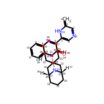 C=C1C=NC=C(c2nc3ccccc3n([C@H]3C[C@H]4CCC[C@@H](C3)N4[C@H]3C[C@@H]4CCC[C@@H](C4)C3)c2=O)N1